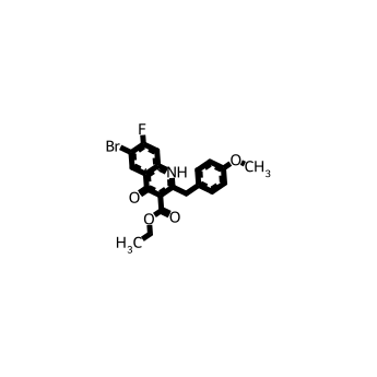 CCOC(=O)c1c(Cc2ccc(OC)cc2)[nH]c2cc(F)c(Br)cc2c1=O